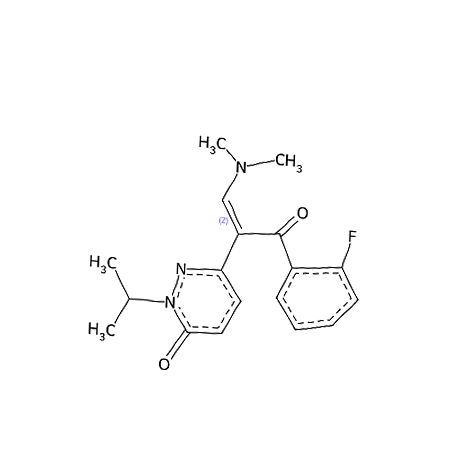 CC(C)n1nc(/C(=C/N(C)C)C(=O)c2ccccc2F)ccc1=O